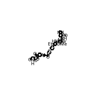 CCc1cc(Nc2ncc(Br)c(Nc3ccc4nccnc4c3P(C)(C)=O)n2)c(OC)cc1N1CCC(N2CCN(C(=O)C3CN(c4ccc5c(c4)C(=O)N(C4CCC(=O)NC4=O)C5=O)C3)CC2)CC1